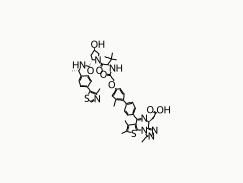 Cc1cc(OCC(=O)N[C@H](C(=O)N2C[C@H](O)C[C@H]2C(=O)N[C@@H](C)c2ccc(-c3scnc3C)cc2)C(C)(C)C)ccc1-c1ccc(C2=N[C@@H](CC(=O)O)c3nnc(C)n3-c3sc(C)c(C)c32)cc1